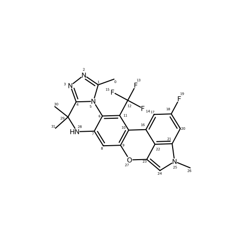 Cc1nnc2n1-c1c(cc3c(c1C(F)(F)F)-c1cc(F)cc4c1c(cn4C)O3)NC2(C)C